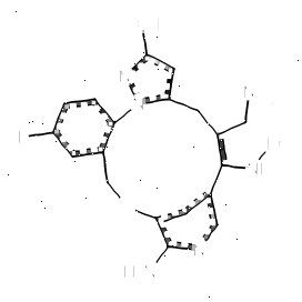 CCN/C1=C(\CN)Cc2cc(C)nn2-c2ccc(F)cc2COc2cc1cnc2N